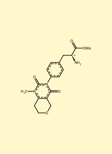 COC(=O)[C@@H](N)Cc1ccc(-n2c(=O)c3c(n(C)c2=O)CCOC3)cc1